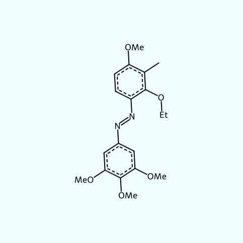 CCOc1c(N=Nc2cc(OC)c(OC)c(OC)c2)ccc(OC)c1C